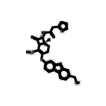 O=C(Cc1ccco1)N[C@@H]1C(=O)N2C(C(=O)O)=C(Sc3ccc4c(c3)oc3cc(CO)ccc34)CS[C@H]12